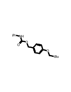 CC(C)NC(=O)OCc1ccc(OCC(C)(C)C)cc1